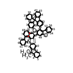 CC1(C)c2ccccc2-c2ccc(N(c3ccc4oc5c(-c6ccc7c(c6)C(c6ccccc6)(c6ccccc6)c6ccccc6-7)c6c(cc5c4c3)oc3ccccc36)c3ccccc3-c3ccccc3)cc21